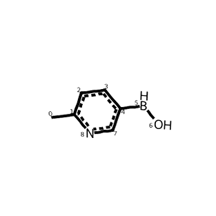 Cc1ccc(BO)cn1